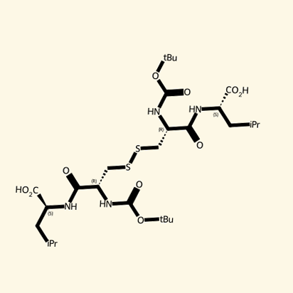 CC(C)C[C@H](NC(=O)[C@H](CSSC[C@H](NC(=O)OC(C)(C)C)C(=O)N[C@@H](CC(C)C)C(=O)O)NC(=O)OC(C)(C)C)C(=O)O